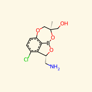 C[C@@]1(CO)COc2ccc(Cl)c3c2B(O[C@@H]3CN)O1